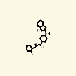 O=C(NCc1ccccc1F)C1CCC(Nc2nc3ccccc3[nH]2)CC1